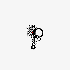 N#C[C@@]1(c2ccc3c(N)ncnn23)O[C@H](COC(=O)Cc2ccccc2)[C@H]2OC(=O)CCC/C=C\CCCC(=O)O[C@H]21